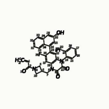 C=CC(=O)N1CC(Cn2c(=O)c(=O)n(-c3ccccc3C(C)C)c3cc(-c4cc(O)cc5ccccc45)c(F)cc32)C1